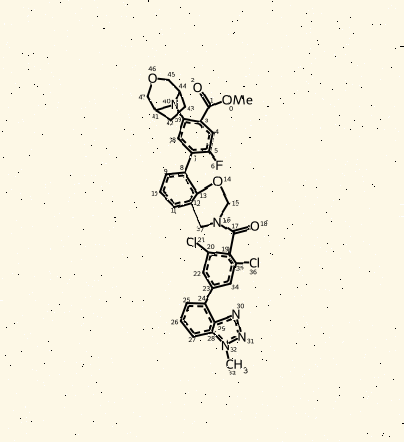 COC(=O)c1cc(F)c(-c2cccc3c2OCN(C(=O)c2c(Cl)cc(-c4cccc5c4nnn5C)cc2Cl)C3)cc1N1C2CCC1COC2